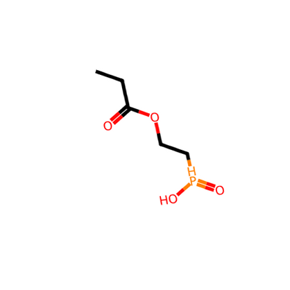 CCC(=O)OCC[PH](=O)O